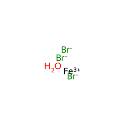 O.[Br-].[Br-].[Br-].[Fe+3]